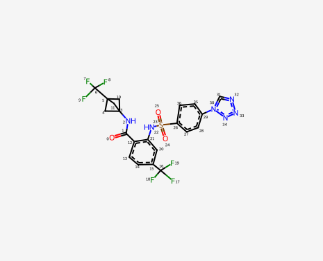 O=C(NC12CC(C(F)(F)F)(C1)C2)c1ccc(C(F)(F)F)cc1NS(=O)(=O)c1ccc(-n2cnnn2)cc1